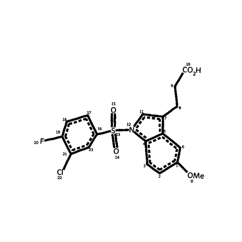 COc1ccc2c(c1)c(CCC(=O)O)cn2S(=O)(=O)c1ccc(F)c(Cl)c1